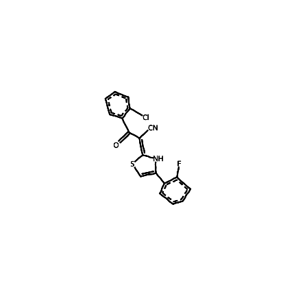 N#CC(C(=O)c1ccccc1Cl)=C1NC(c2ccccc2F)=CS1